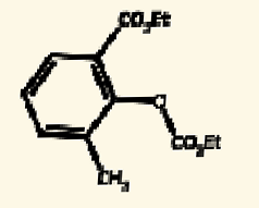 CCOC(=O)Oc1c(C)cccc1C(=O)OCC